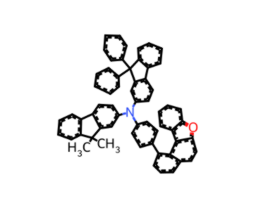 CC1(C)c2ccccc2-c2ccc(N(c3ccc(-c4cccc5ccc6oc7ccccc7c6c45)cc3)c3ccc4c(c3)C(c3ccccc3)(c3ccccc3)c3ccccc3-4)cc21